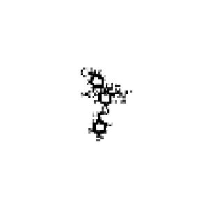 COc1cc(Cl)ccc1C1(O)CCC(OCc2ccc(F)cc2)CC1CN(C)C